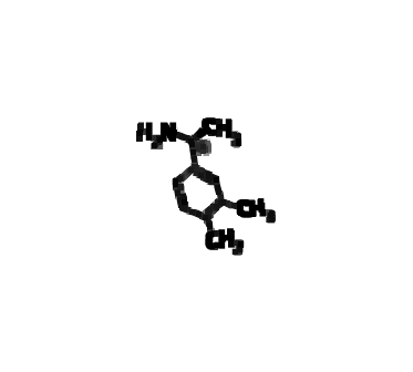 Cc1ccc([C@H](C)N)cc1C